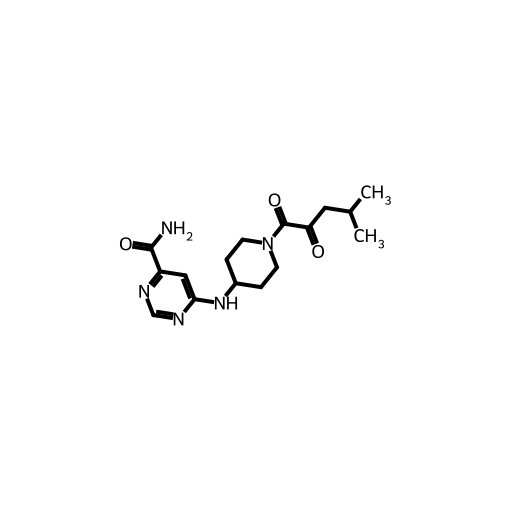 CC(C)CC(=O)C(=O)N1CCC(Nc2cc(C(N)=O)ncn2)CC1